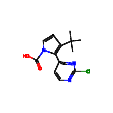 CC(C)(C)c1ccn(C(=O)O)c1-c1ccnc(Cl)n1